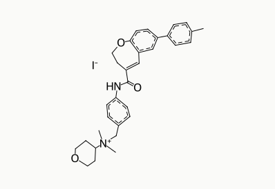 Cc1ccc(-c2ccc3c(c2)C=C(C(=O)Nc2ccc(C[N+](C)(C)C4CCOCC4)cc2)CCO3)cc1.[I-]